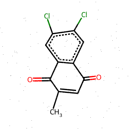 CC1=CC(=O)c2cc(Cl)c(Cl)cc2C1=O